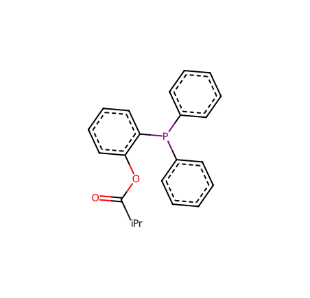 CC(C)C(=O)Oc1ccccc1P(c1ccccc1)c1ccccc1